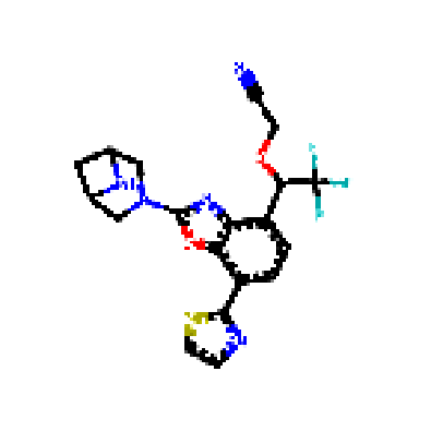 N#CCOC(c1ccc(-c2nccs2)c2oc(N3CC4CC(C3)N4)nc12)C(F)(F)F